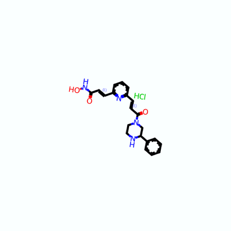 Cl.O=C(/C=C/c1cccc(/C=C/C(=O)N2CCNC(c3ccccc3)C2)n1)NO